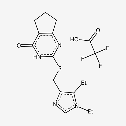 CCc1c(CSc2nc3c(c(=O)[nH]2)CCC3)ncn1CC.O=C(O)C(F)(F)F